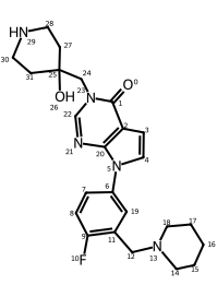 O=c1c2ccn(-c3ccc(F)c(CN4CCCCC4)c3)c2ncn1CC1(O)CCNCC1